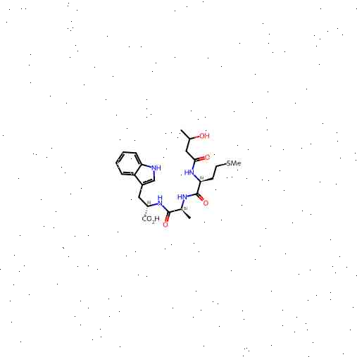 CSCC[C@H](NC(=O)CC(C)O)C(=O)N[C@@H](C)C(=O)N[C@@H](Cc1c[nH]c2ccccc12)C(=O)O